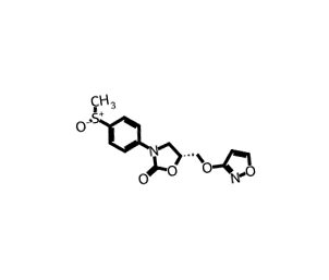 C[S+]([O-])c1ccc(N2C[C@H](COc3ccon3)OC2=O)cc1